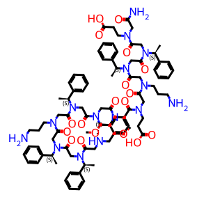 COCCNCC(=O)N(CC(=O)N(CC(=O)N(CCCN)CC(=O)N(CC(=O)N(CC(=O)N(CCOC)CC(=O)N(CCC(=O)O)CC(=O)N(CCCN)CC(=O)N(CC(=O)N(CC(=O)N(CCC(=O)O)CC(N)=O)[C@@H](C)c1ccccc1)[C@@H](C)c1ccccc1)[C@@H](C)c1ccccc1)[C@@H](C)c1ccccc1)[C@@H](C)c1ccccc1)[C@@H](C)c1ccccc1